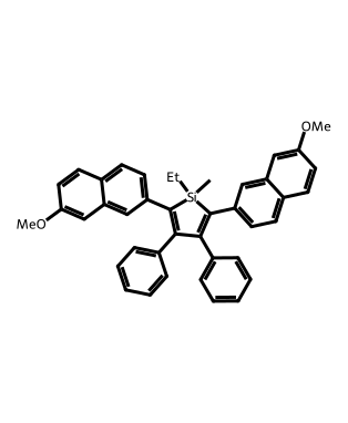 CC[Si]1(C)C(c2ccc3ccc(OC)cc3c2)=C(c2ccccc2)C(c2ccccc2)=C1c1ccc2ccc(OC)cc2c1